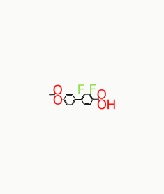 CC(=O)Oc1ccc(-c2ccc(C(=O)O)c(F)c2F)cc1